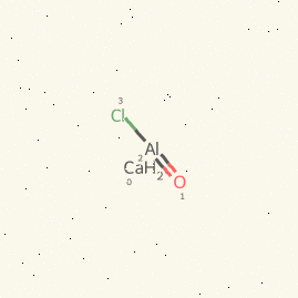 [CaH2].[O]=[Al][Cl]